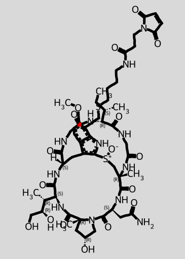 CC[C@H](C)[C@H]1NC(=O)CNC(=O)[C@@H]2Cc3c([nH]c4c(CSCCCCNC(=O)CCN5C(=O)C=CC5=O)c(OC)ccc34)[S+]([O-])C[C@](C)(NC(=O)CNC1=O)C(=O)N[C@@H](CC(N)=O)C(=O)N1C[C@H](O)C[C@]1(C)C(=O)N[C@@H]([C@@H](C)[C@@H](O)CO)C(=O)N2